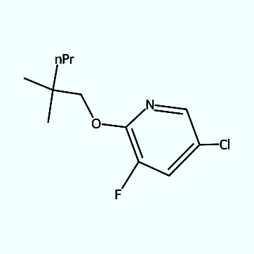 CCCC(C)(C)COc1ncc(Cl)cc1F